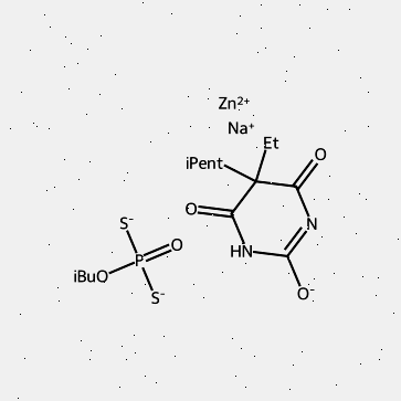 CC(C)COP(=O)([S-])[S-].CCCC(C)C1(CC)C(=O)N=C([O-])NC1=O.[Na+].[Zn+2]